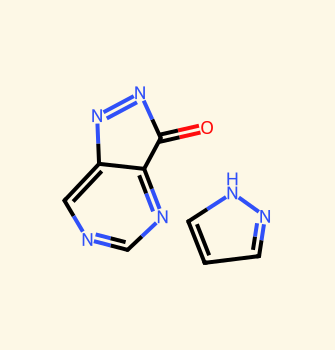 O=C1N=Nc2cncnc21.c1cn[nH]c1